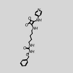 O=C(NCCCCCNc1c(Nc2ccncc2)c(=O)c1=O)NOCc1ccccc1